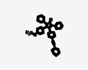 COc1ccc(C2=C(c3ccccc3)C(=O)C(c3ccccc3)=C2c2ccc(C#Cc3ccccc3)cc2)cc1